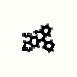 C[C@@H]1CN(C(c2ccccc2)c2ccccc2F)CCN1CC(=O)O